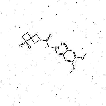 CNC1=C/C(=C/NCC(=O)N2CC3(CCS3(=O)=O)C2)C(=N)C=C1OC